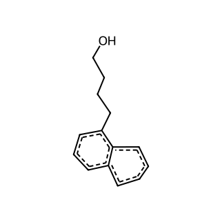 OCCCCc1cccc2ccccc12